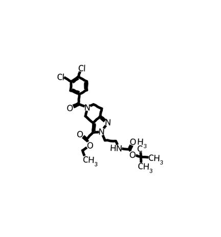 CCOC(=O)c1c2c(nn1CCNC(=O)OC(C)(C)C)CCN(C(=O)c1ccc(Cl)c(Cl)c1)C2